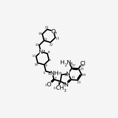 CC1(C(=O)NCC2CCN(CC3CCOCC3)CC2)CN2C(=N1)C=CC(Cl)=C2N